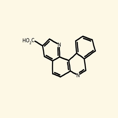 O=C(O)c1cnc2c(ccc3ncc4ccccc4c32)c1